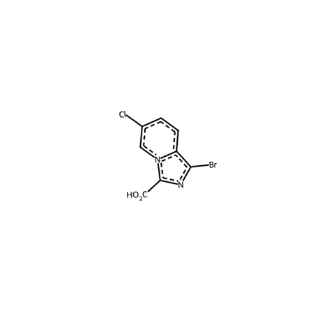 O=C(O)c1nc(Br)c2ccc(Cl)cn12